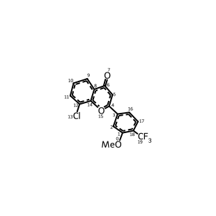 COc1cc(-c2cc(=O)c3cccc(Cl)c3o2)ccc1C(F)(F)F